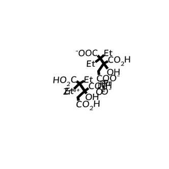 CC(C)[O-].CC(C)[O-].CCC(CC)(C(=O)O)C(O)(CC(=O)O)C(=O)O.CCC(CC)(C(=O)[O-])C(O)(CC(=O)[O-])C(=O)O.[Zr+4]